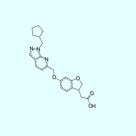 O=C(O)CC1COc2cc(OCc3ccc4cnn(CC5CCCC5)c4n3)ccc21